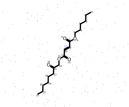 CCCCCCOC(=O)/C=C/C(=O)OCC(=O)CCCCCC